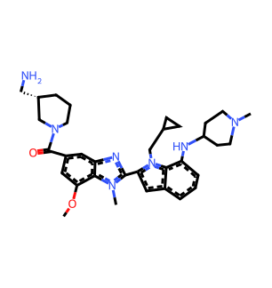 COc1cc(C(=O)N2CCC[C@@H](CN)C2)cc2nc(-c3cc4cccc(NC5CCN(C)CC5)c4n3CC3CC3)n(C)c12